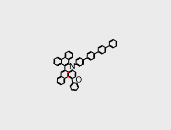 c1ccc(-c2ccc(-c3ccc(-c4ccc(N(c5ccc6c(c5)oc5ccccc56)c5c(-c6ccc7ccccc7c6)c6ccccc6c6ccccc56)cc4)cc3)cc2)cc1